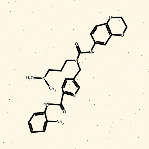 CN(C)CCCN(Cc1ccc(C(=O)Nc2ccccc2N)nc1)C(=O)Nc1ccc2c(c1)OCCO2